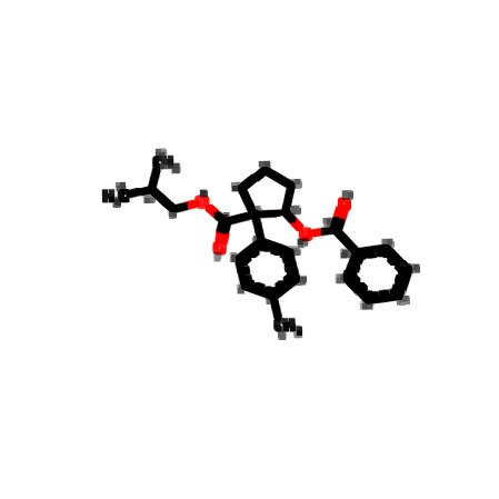 Cc1ccc(C2(C(=O)OCC(C)C)CCCC2OC(=O)c2ccccc2)cc1